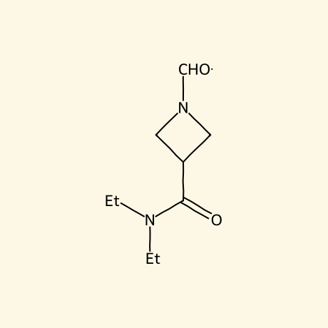 CCN(CC)C(=O)C1CN([C]=O)C1